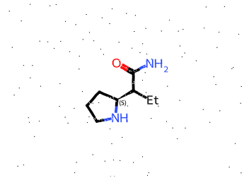 CCC(C(N)=O)[C@@H]1CCCN1